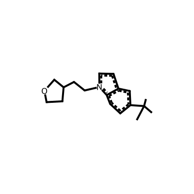 CC(C)(C)c1ccc2c(ccn2CCC2CCOC2)c1